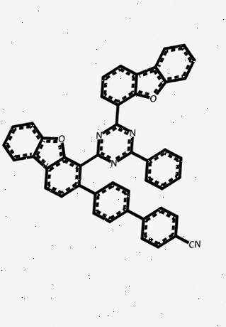 N#Cc1ccc(-c2ccc(-c3ccc4c(oc5ccccc54)c3-c3nc(-c4ccccc4)nc(-c4cccc5c4oc4ccccc45)n3)cc2)cc1